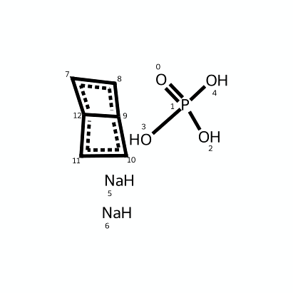 O=P(O)(O)O.[NaH].[NaH].c1cc2ccc1-2